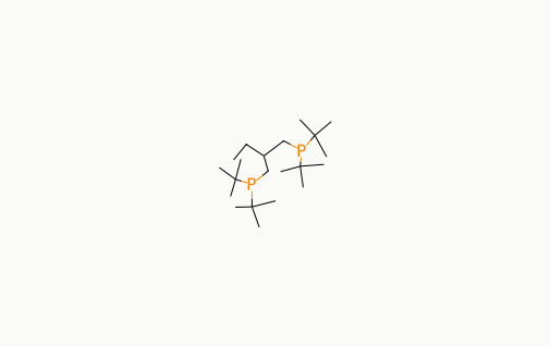 CCC(CP(C(C)(C)C)C(C)(C)C)CP(C(C)(C)C)C(C)(C)C